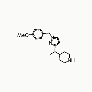 COc1ccc(Cn2ccc(C(C)C3CCNCC3)n2)cc1